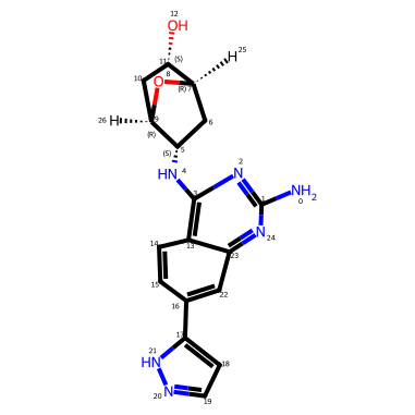 Nc1nc(N[C@H]2C[C@H]3O[C@@H]2C[C@@H]3O)c2ccc(-c3ccn[nH]3)cc2n1